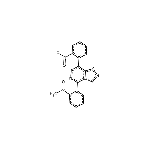 C[S+]([O-])c1ccccc1-c1ncc(-c2ccccc2[N+](=O)[O-])c2sncc12